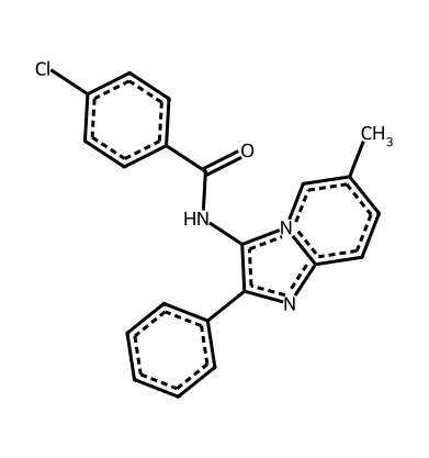 Cc1ccc2nc(-c3ccccc3)c(NC(=O)c3ccc(Cl)cc3)n2c1